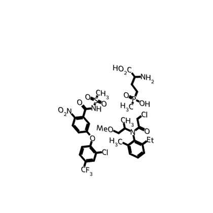 CCc1cccc(C)c1N(C(=O)CCl)C(C)COC.CP(=O)(O)CCC(N)C(=O)O.CS(=O)(=O)NC(=O)c1cc(Oc2ccc(C(F)(F)F)cc2Cl)ccc1[N+](=O)[O-]